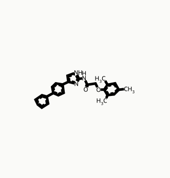 Cc1cc(C)c(OCC(=O)Nc2nc(-c3ccc(-c4ccccc4)cc3)c[nH]2)c(C)c1